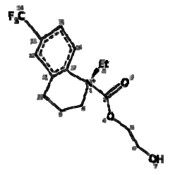 CC[N@@+]1(C(=O)OCCO)CCCc2cc(C(F)(F)F)ccc21